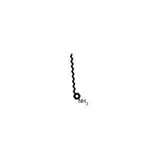 CCCCCCCCCCCCCCCCc1ccc(N)cc1